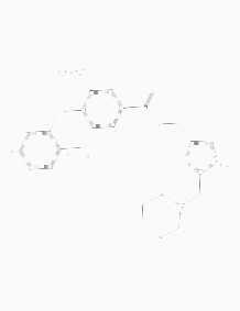 CNc1cc(C(=O)NCc2cnc(CN3CCOCC3)s2)ccc1Sc1ccccc1C=O